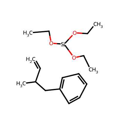 C=CC(C)Cc1ccccc1.CCO[Si](OCC)OCC